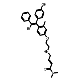 CCC(=C(c1ccc(O)cc1)c1ccc(OCCNCC=CC(=O)N(C)C)cc1C)c1ccccc1